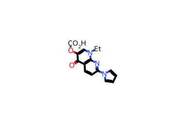 CCn1cc(OC(=O)O)c(=O)c2ccc(-n3cccc3)nc21